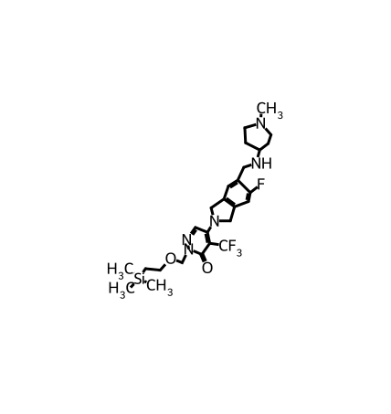 CN1CCC(NCc2cc3c(cc2F)CN(c2cnn(COCC[Si](C)(C)C)c(=O)c2C(F)(F)F)C3)CC1